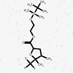 CC1CC(C(=O)OCCO[Si](C)(C)C(C)(C)C)OC1(C)C(F)(F)F